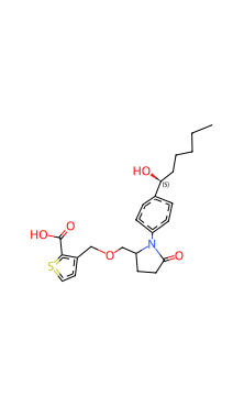 CCCCC[C@H](O)c1ccc(N2C(=O)CCC2COCc2ccsc2C(=O)O)cc1